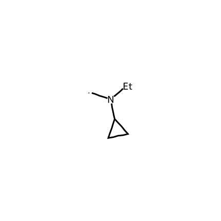 [CH2]N(CC)C1CC1